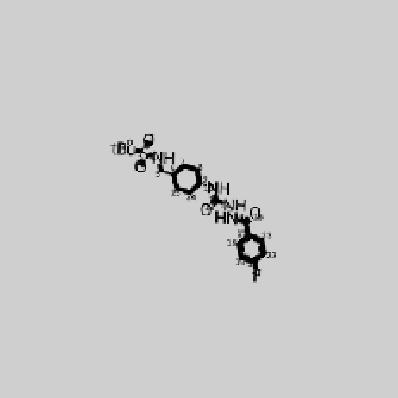 CC(C)(C)S(=O)(=O)NC[C@H]1CC[C@H](NC(=O)NNC(=O)c2ccc(F)cc2)CC1